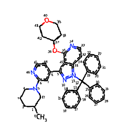 CC1CCCN(c2cc(-c3nn(C(c4ccccc4)(c4ccccc4)c4ccccc4)c4ccnc(OC5CCOCC5)c34)ccn2)C1